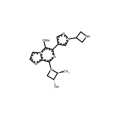 COc1c(-c2cnn(C3CNC3)c2)nc(N2C[C@@H](O)[C@@H]2C)c2nccn12